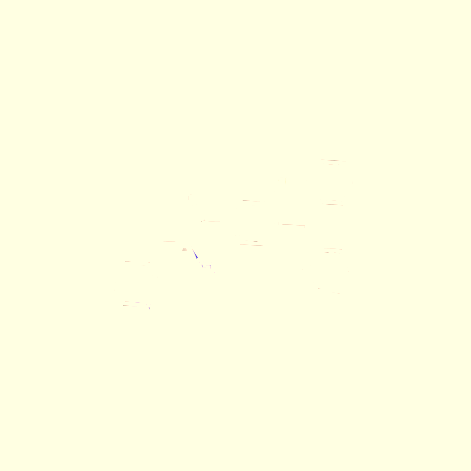 N[C@@H](Cc1cccnc1)C(=O)c1ccc([C](c2ccccc2)c2ccccc2)c(Cl)c1